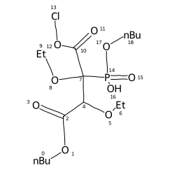 CCCCOC(=O)C(OCC)C(OCC)(C(=O)OCl)P(=O)(O)OCCCC